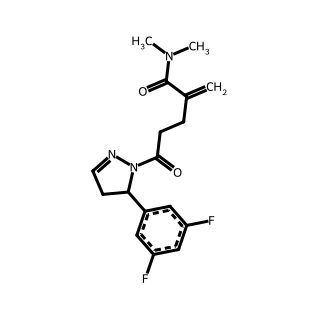 C=C(CCC(=O)N1N=CCC1c1cc(F)cc(F)c1)C(=O)N(C)C